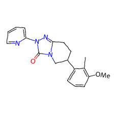 COc1cccc(C2CCc3nn(-c4ccccn4)c(=O)n3C2)c1C